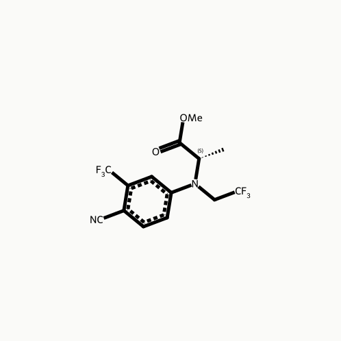 COC(=O)[C@H](C)N(CC(F)(F)F)c1ccc(C#N)c(C(F)(F)F)c1